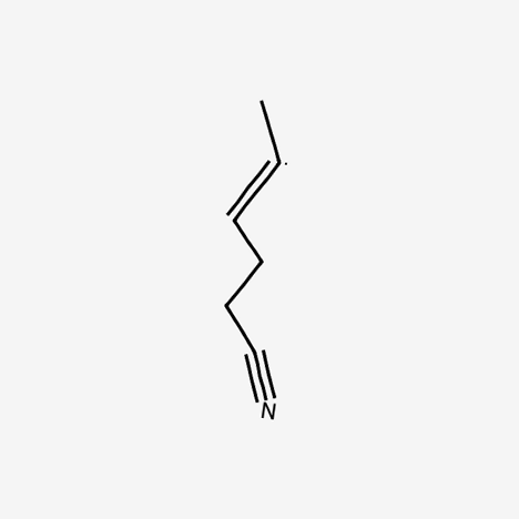 C/[C]=C/CCC#N